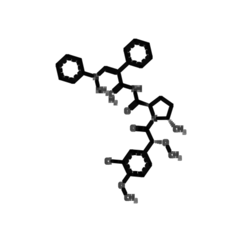 C=C(NC(=O)[C@H]1CC[C@H](C)N1C(=O)[C@H](OC)c1ccc(OC)c(Cl)c1)/C(=C\N(N)c1ccccc1)c1ccccc1